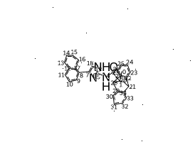 CC1(C(=O)Nc2nc(-c3cccc4ccccc34)c[nH]2)CC2c3ccccc3C1c1ccccc12